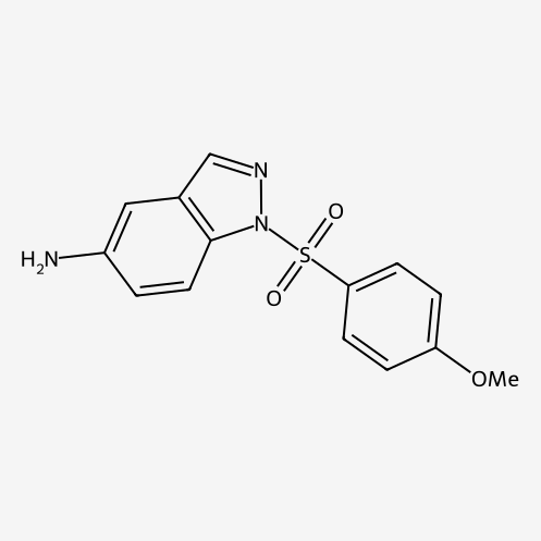 COc1ccc(S(=O)(=O)n2ncc3cc(N)ccc32)cc1